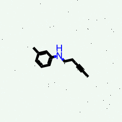 CC#CC[CH]Nc1cccc(C)c1